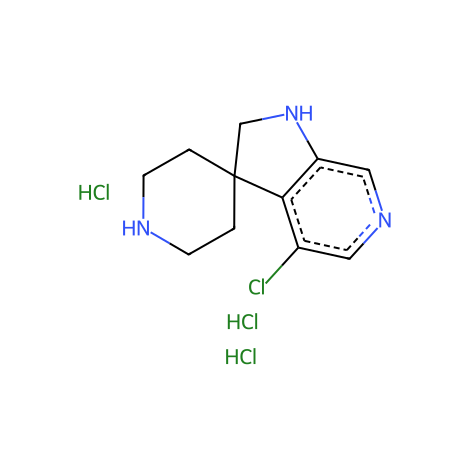 Cl.Cl.Cl.Clc1cncc2c1C1(CCNCC1)CN2